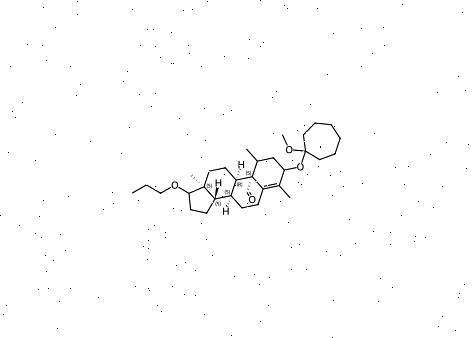 CCCOC1CC[C@H]2[C@@H]3CCC4=C(C)C(OC5(OC)CCCCCC5)CC(C)[C@]4(C=O)[C@@H]3CC[C@]12C